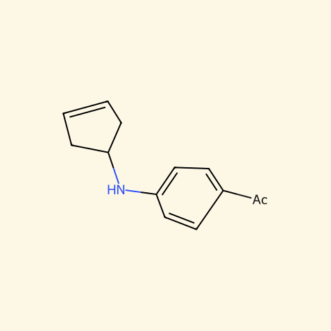 CC(=O)c1ccc(NC2CC=CC2)cc1